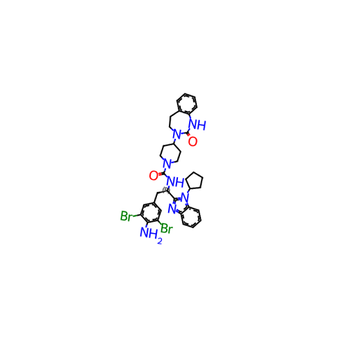 Nc1c(Br)cc(C[C@@H](NC(=O)N2CCC(N3CCc4ccccc4NC3=O)CC2)c2nc3ccccc3n2C2CCCC2)cc1Br